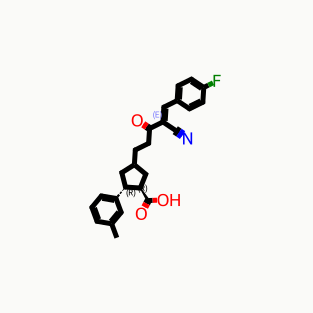 Cc1cccc([C@@H]2CC(CCC(=O)/C(C#N)=C/c3ccc(F)cc3)C[C@H]2C(=O)O)c1